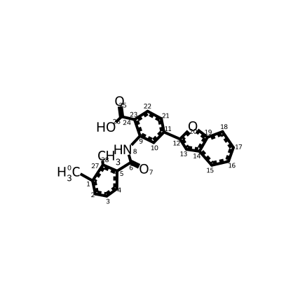 Cc1cccc(C(=O)Nc2cc(-c3cc4ccccc4o3)ccc2C(=O)O)c1C